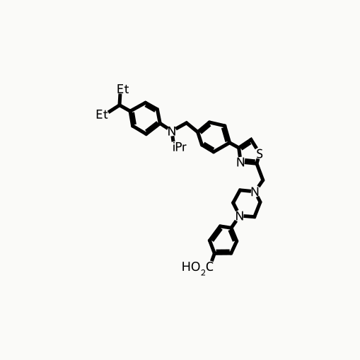 CCC(CC)c1ccc(N(Cc2ccc(-c3csc(CN4CCN(c5ccc(C(=O)O)cc5)CC4)n3)cc2)C(C)C)cc1